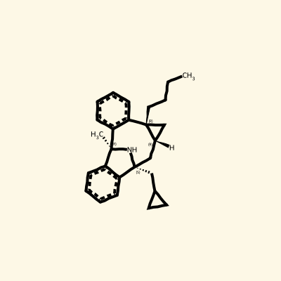 CCCC[C@@]12C[C@@H]1C[C@]1(CC3CC3)N[C@@](C)(c3ccccc31)c1ccccc12